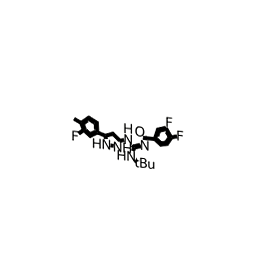 Cc1ccc(C2CC(N/C(=N\C(=O)c3ccc(F)c(F)c3)NC(C)(C)C)NN2)cc1F